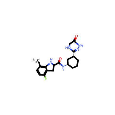 Cc1ccc(F)c2c1NC(C(=O)N[C@H]1CCC[C@@H](C3=NNC(=O)CN3)C1)C2